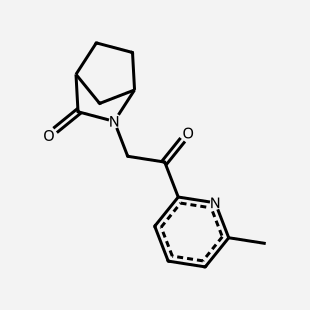 Cc1cccc(C(=O)CN2C(=O)C3CCC2C3)n1